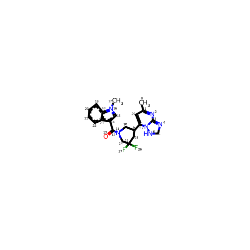 CC1=NC2=NCNN2C(C2CN(C(=O)c3cn(C)c4ccccc34)CC(F)(F)C2)=C1